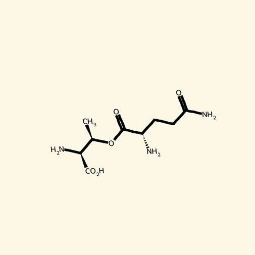 C[C@@H](OC(=O)[C@@H](N)CCC(N)=O)[C@H](N)C(=O)O